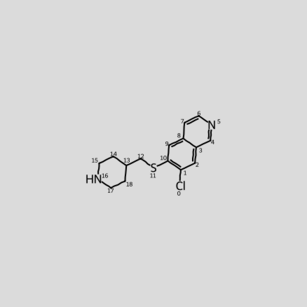 Clc1cc2cnccc2cc1SCC1CCNCC1